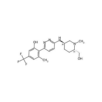 Cc1cc(C(F)(F)F)cc(O)c1-c1ccc(N[C@@H]2CC[C@@H](CO)N(C)C2)nn1